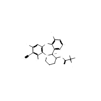 N#Cc1c(F)cc2c(c1Cl)N1CCCC(NC(=O)C(F)(F)F)[C@H]1c1cccc(F)c1O2